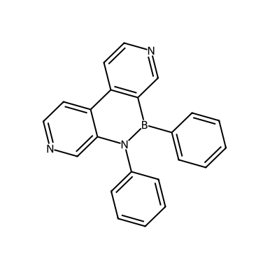 c1ccc(B2c3cnccc3-c3ccncc3N2c2ccccc2)cc1